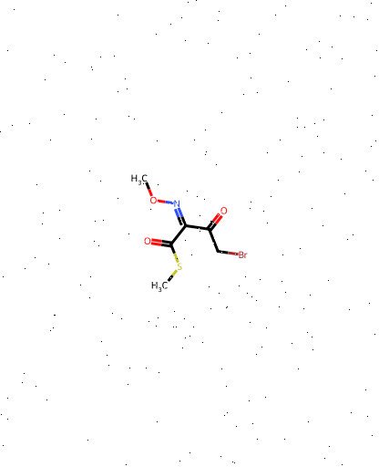 CO/N=C(/C(=O)CBr)C(=O)SC